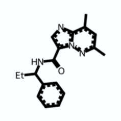 CCC(NC(=O)c1cnc2c(C)cc(C)nn12)c1ccccc1